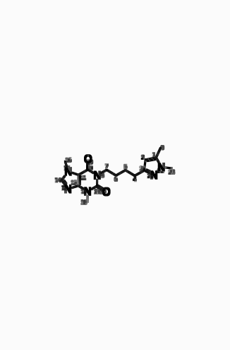 Cc1cc(CCCCn2c(=O)c3c(ncn3C)n(C)c2=O)nn1C